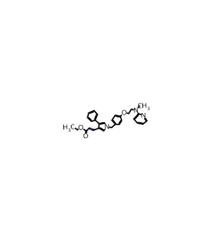 CCOC(=O)/C=C/c1cn(Cc2ccc(OCCN(C)c3ccccn3)cc2)cc1-c1ccccc1